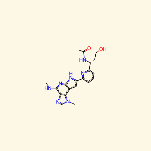 CNc1nc2[nH]c(-c3cccc([C@@H](CCO)NC(C)=O)n3)cc2c2c1ncn2C